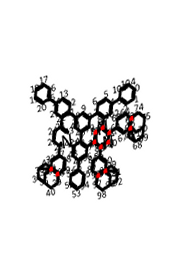 c1ccc(-c2ccc(-c3cc(-c4ccc(-c5ccccc5)cc4-c4ccc(-c5ccc6c(c5)C5CC7CC(CC6C7)C5)nc4)cc(-c4ccc(-c5ccccc5)cc4-c4ccc(-c5ccc6c(c5)C5CC7CC(CC6C7)C5)nc4)c3)c(-c3ccc(-c4ccc5c(c4)C4CC6CC(CC5C6)C4)nc3)c2)cc1